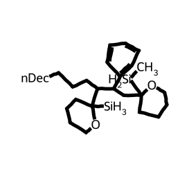 CCCCCCCCCCCCCC(C(CC1([SiH2]C)CCCCO1)c1ccccc1)C1([SiH3])CCCCO1